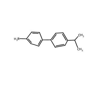 Bc1ccc(-c2ccc(C(C)C)cc2)cc1